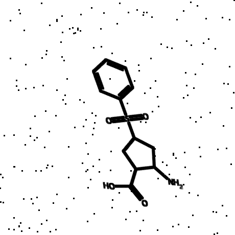 NC1CC(S(=O)(=O)c2ccccc2)CC1C(=O)O